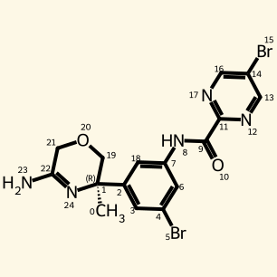 C[C@@]1(c2cc(Br)cc(NC(=O)c3ncc(Br)cn3)c2)COCC(N)=N1